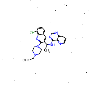 C[C@H](Nc1ncnc2cccnc12)c1cc2cccc(Cl)c2nc1N1CCN(CC=O)CC1